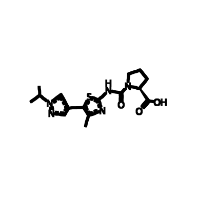 Cc1nc(NC(=O)N2CCC[C@H]2C(=O)O)sc1-c1cnn(C(C)C)c1